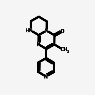 Cc1c(-c2ccncc2)nc2n(c1=O)CCCN2